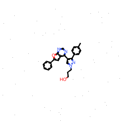 Cc1ccc(-c2nn(CCCO)cc2-c2ncnc3oc(-c4ccccc4)cc23)cc1